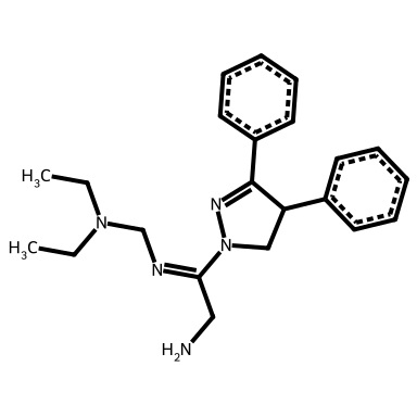 CCN(CC)C/N=C(/CN)N1CC(c2ccccc2)C(c2ccccc2)=N1